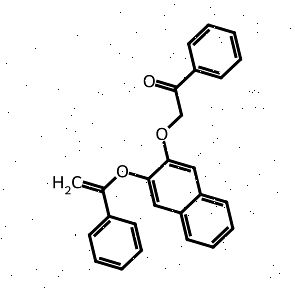 C=C(Oc1cc2ccccc2cc1OCC(=O)c1ccccc1)c1ccccc1